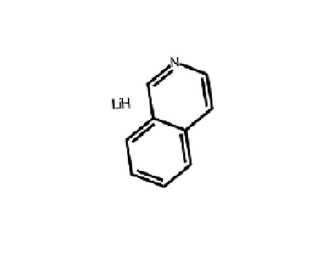 [LiH].c1ccc2cnccc2c1